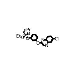 CCCSP(=O)(OCC)Oc1cccc(Oc2cnc3cc(Cl)ccc3n2)c1